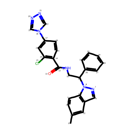 Cc1ccc2c(cnn2C(CNC(=O)c2ccc(-n3cnnc3)cc2Cl)c2ccccc2)c1